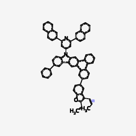 C=Cc1oc2ccc(-c3ccc4c5ccccc5c5cc6c(cc5c4c3)c3cc(-c4ccccc4)ccc3n6-c3cc(-c4ccc5ccccc5c4)nc(-c4ccc5ccccc5c4)c3)cc2c1/C=C\C